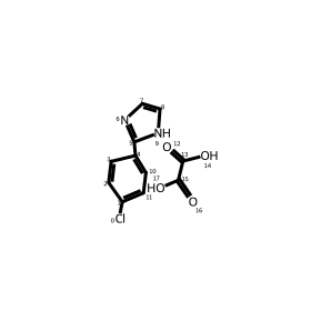 Clc1ccc(-c2ncc[nH]2)cc1.O=C(O)C(=O)O